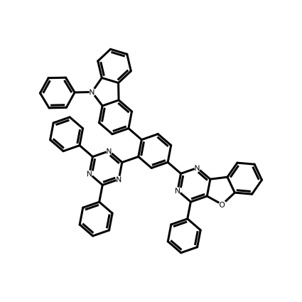 c1ccc(-c2nc(-c3ccccc3)nc(-c3cc(-c4nc(-c5ccccc5)c5oc6ccccc6c5n4)ccc3-c3ccc4c(c3)c3ccccc3n4-c3ccccc3)n2)cc1